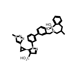 CC1Cc2ccccc2S(O)(O)N(Cc2cccc(-c3cccc(-n4ncc(C(=O)O)c4[C@H]4C[C@@H]4c4cn(C)nn4)c3)c2)C1